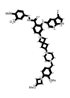 CNc1ccc(SNC(=O)c2ccc(N3CC4(CC(N5CCN(Cc6ccc(N7CC(OC)C7)c(OC)c6)CC5)C4)C3)cc2Oc2cnc3[nH]cc(F)c3c2)cc1[N+](=O)[O-]